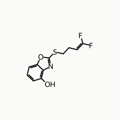 Oc1cccc2oc(SCCC=C(F)F)nc12